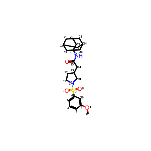 COc1cccc(S(=O)(=O)N2CCC(CC(=O)NC34CC5CC(CC(C5)C3)C4)C2)c1